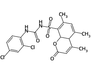 CC1=CC(=O)OC2C(S(=O)(=O)NC(=O)Nc3ccc(Cl)cc3Cl)=C(C)C=C(C)C12